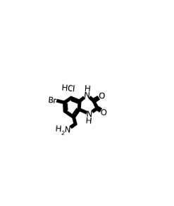 Cl.NCc1cc(Br)cc2[nH]c(=O)c(=O)[nH]c12